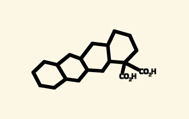 O=C(O)C1(C(=O)O)CCCC2CC3CC4CCCCC4CC3CC21